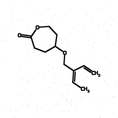 C=C/C(=C\C)COC1CCOC(=O)CC1